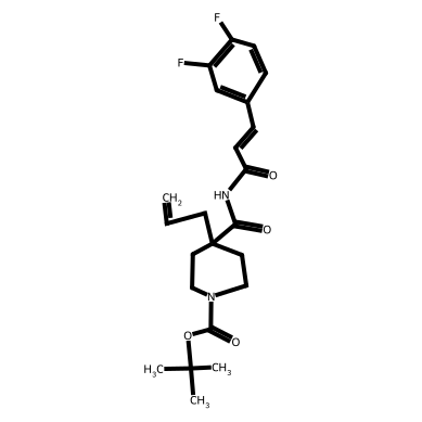 C=CCC1(C(=O)NC(=O)C=Cc2ccc(F)c(F)c2)CCN(C(=O)OC(C)(C)C)CC1